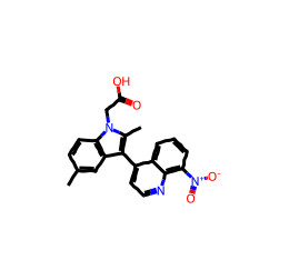 Cc1ccc2c(c1)c(-c1ccnc3c([N+](=O)[O-])cccc13)c(C)n2CC(=O)O